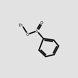 CCOS(=O)c1ccccc1